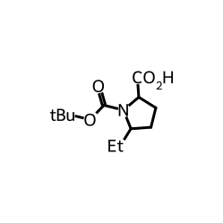 CCC1CCC(C(=O)O)N1C(=O)OC(C)(C)C